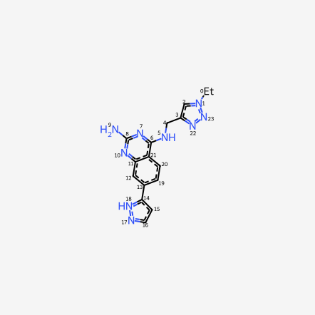 CCn1cc(CNc2nc(N)nc3cc(-c4ccn[nH]4)ccc23)nn1